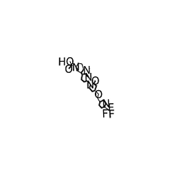 Cn1c2c(c3ccc(-n4ccc(OCc5ccc(C(F)(F)F)nc5)cc4=O)nc31)CN(C(=O)O)CC2